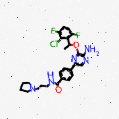 CC(Oc1nc(-c2ccc(C(=O)NCCCN3CCCC3)cc2)cnc1N)c1c(F)ccc(F)c1Cl